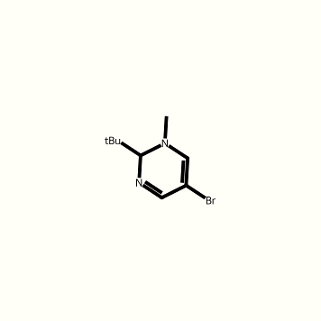 CN1C=C(Br)C=NC1C(C)(C)C